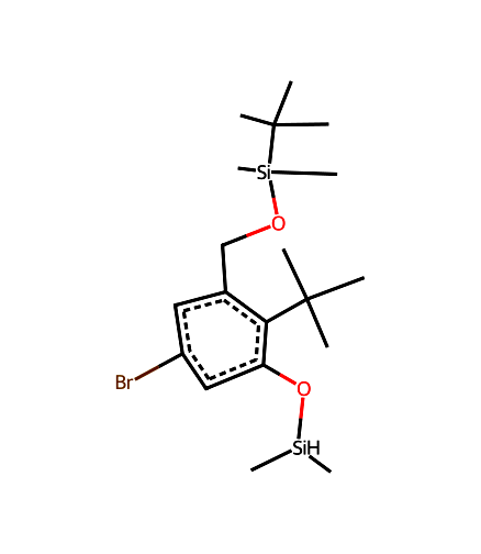 C[SiH](C)Oc1cc(Br)cc(CO[Si](C)(C)C(C)(C)C)c1C(C)(C)C